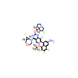 [2H]C([2H])([2H])Oc1c(F)c(F)c(F)c2cc(N)cc(-c3ncc4c(N5CCOC[C@H]6[C@H](F)[C@H]65)nc(OC([2H])([2H])[C@@]56CCCN5C[C@H](F)C6)nc4c3F)c12